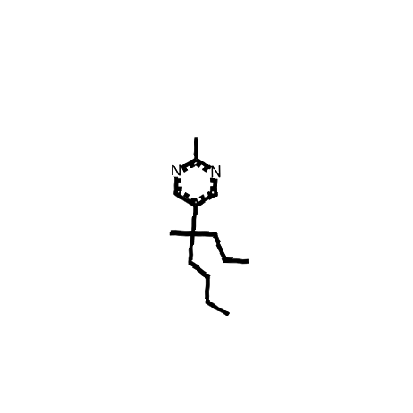 CCCCC(C)(CCC)c1cnc(C)nc1